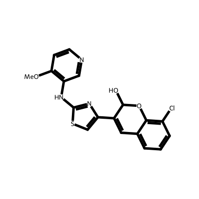 COc1ccncc1Nc1nc(C2=Cc3cccc(Cl)c3OC2O)cs1